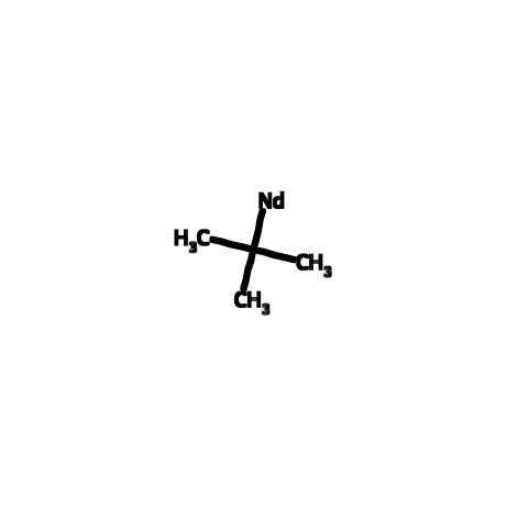 C[C](C)(C)[Nd]